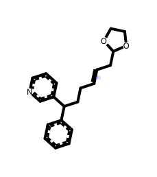 C(=C\CC1OCCO1)/CCC(c1ccccc1)c1cccnc1